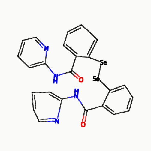 O=C(Nc1ccccn1)c1ccccc1[Se][Se]c1ccccc1C(=O)Nc1ccccn1